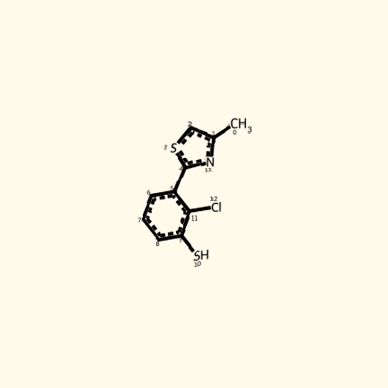 Cc1csc(-c2cccc(S)c2Cl)n1